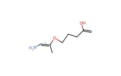 C=C(O)CCCO/C(C)=C/N